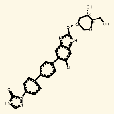 O=c1[nH]cnn1-c1ccc(-c2ccc(-c3cc4nc(O[C@H]5CO[C@H](CO)[C@@H](O)C5)[nH]c4cc3Cl)cc2)cc1